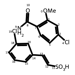 COc1cc(Cl)ccc1C(N)=O.O=S(=O)(O)/C=C/c1cccc(Cl)c1